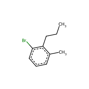 CCCc1c(C)cccc1Br